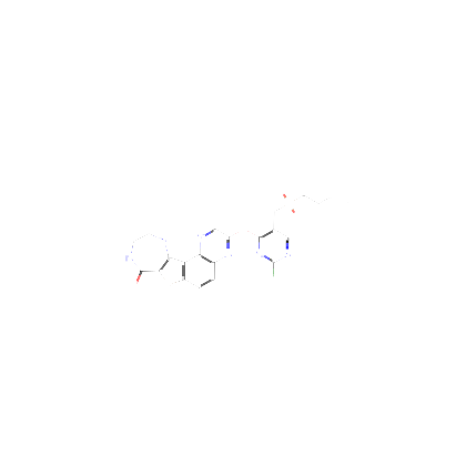 C[C@@H]1CNc2c(sc3ccc4nc(Oc5nc(Cl)ncc5CS(=O)(=O)CCC(=O)O)cnc4c23)C(=O)N1